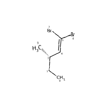 CC[C@H](C)C=C(Br)Br